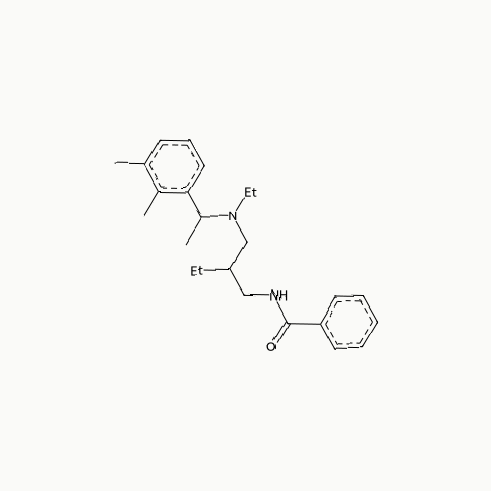 CCC(CNC(=O)c1ccccc1)CN(CC)C(C)c1cccc(C)c1C